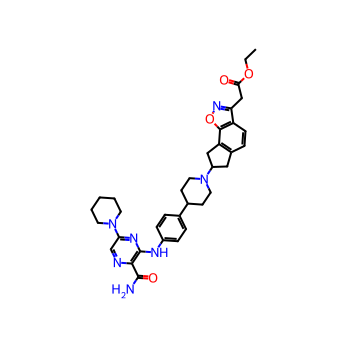 CCOC(=O)Cc1noc2c3c(ccc12)CC(N1CCC(c2ccc(Nc4nc(N5CCCCC5)cnc4C(N)=O)cc2)CC1)C3